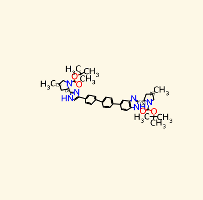 C[C@H]1C[C@@H](c2nc(-c3ccc(-c4ccc(-c5ccc6[nH]c([C@@H]7C[C@H](C)CN7C(=O)OC(C)(C)C)nc6c5)cc4)cc3)c[nH]2)N(C(=O)OC(C)(C)C)C1